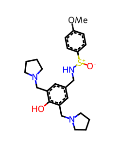 COc1ccc([S+]([O-])NCc2cc(CN3CCCC3)c(O)c(CN3CCCC3)c2)cc1